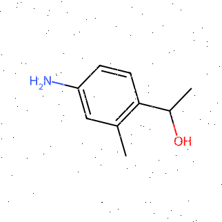 Cc1cc(N)ccc1C(C)O